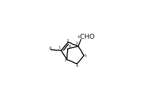 CC1=CC2(C=O)CCC1C2